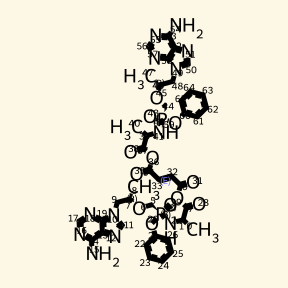 CC(N[P@](=O)(CO[C@H](C)Cn1cnc2c(N)ncnc21)Oc1ccccc1)C(=O)OC(=O)/C=C/C(=O)OC(=O)C(C)N[P@](=O)(CO[C@H](C)Cn1cnc2c(N)ncnc21)Oc1ccccc1